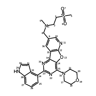 CN(CCS(C)(=O)=O)Cc1cnc2oc3c(N4CCOCC4)nc(-c4cccc5[nH]ccc45)nc3c2c1